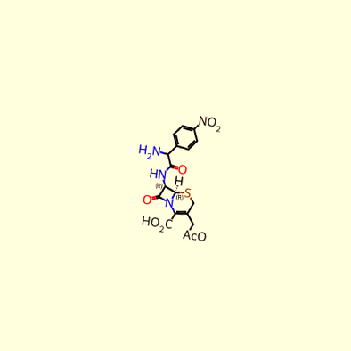 CC(=O)OCC1=C(C(=O)O)N2C(=O)[C@@H](NC(=O)C(N)c3ccc([N+](=O)[O-])cc3)[C@H]2SC1